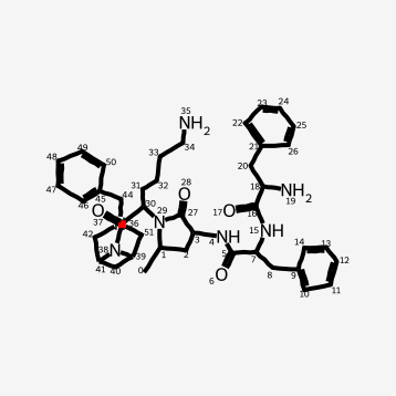 CC1CC(NC(=O)C(Cc2ccccc2)NC(=O)C(N)Cc2ccccc2)C(=O)N1C(CCCCN)C(=O)N1C2CC1CN(Cc1ccccc1)C2